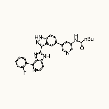 CCCCC(=O)Nc1cncc(-c2ccc3[nH]nc(-c4nc5c(-c6ccccc6F)nccc5[nH]4)c3c2)c1